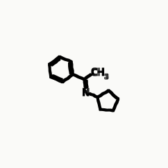 C/C(=N\C1CCCC1)c1ccccc1